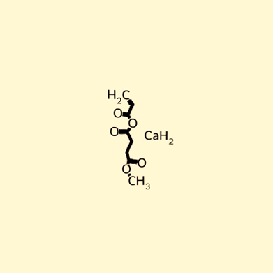 C=CC(=O)OC(=O)CCC(=O)OC.[CaH2]